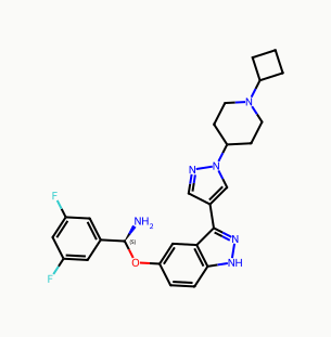 N[C@@H](Oc1ccc2[nH]nc(-c3cnn(C4CCN(C5CCC5)CC4)c3)c2c1)c1cc(F)cc(F)c1